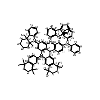 CC1(C)CCC(C)(C)c2cc(N3c4cc5c(cc4B4c6ccc(N(c7ccccc7)c7ccccc7)cc6N(c6cccc7c6sc6ccccc67)c6cc(N7c8ccccc8C8(C)CCCCC78C)cc3c64)C(C)(C)CCC5(C)C)ccc21